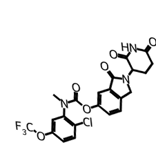 CN(C(=O)Oc1ccc2c(c1)C(=O)N(C1CCC(=O)NC1=O)C2)c1cc(OC(F)(F)F)ccc1Cl